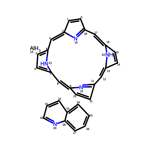 C1=Cc2cc3ccc(cc4nc(cc5ccc(cc1n2)[nH]5)C=C4)[nH]3.[AlH3].c1ccc2ncccc2c1